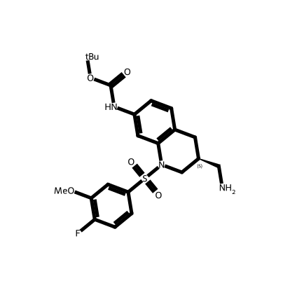 COc1cc(S(=O)(=O)N2C[C@H](CN)Cc3ccc(NC(=O)OC(C)(C)C)cc32)ccc1F